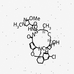 COC1=NN(C)CC1C(=O)N[S@@]1(=O)=NC(=O)c2ccc3c(c2)N(C[C@@H]2CC[C@H]2[C@@H](O)CCC[C@H](C)C1)C[C@@]1(CCCc2cc(Cl)ccc21)CO3